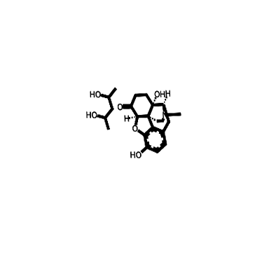 CC(O)CC(C)O.CN1CC[C@]23c4c5ccc(O)c4O[C@H]2C(=O)CC[C@@]3(O)[C@H]1C5